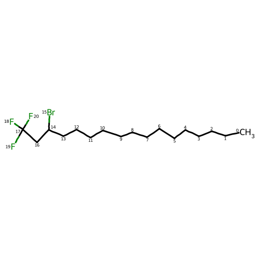 CCCCCCCCCCCCCCC(Br)CC(F)(F)F